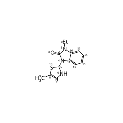 CCn1c(=O)n(C2NN=C(C)S2)c2ccccc21